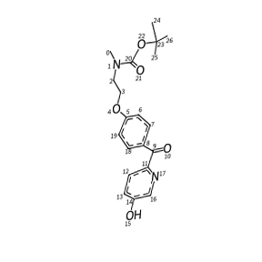 CN(CCOc1ccc(C(=O)c2ccc(O)cn2)cc1)C(=O)OC(C)(C)C